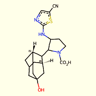 N#Cc1cnc(NC2CCN(C(=O)O)C2C2[C@@H]3CC4C[C@H]2CC(O)(C4)C3)s1